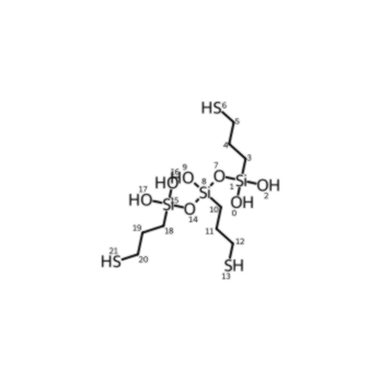 O[Si](O)(CCCS)O[Si](O)(CCCS)O[Si](O)(O)CCCS